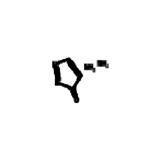 N.N.O=C1C=CN=N1